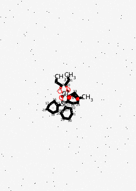 CCC[O][Ti]([O]CCC)([O]CCC)[O][Si](C1CCCCC1)(C1CCCCC1)C1CCCCC1